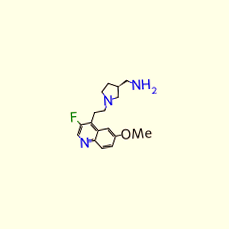 COc1ccc2ncc(F)c(CCN3CC[C@@H](CN)C3)c2c1